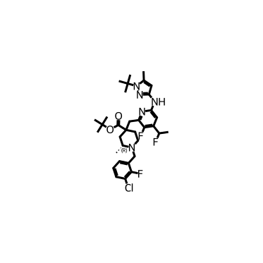 Cc1cc(Nc2cc(C(C)F)c(F)c(CC3(C(=O)OC(C)(C)C)CCN(Cc4cccc(Cl)c4F)[C@H](C)C3)n2)nn1C(C)(C)C